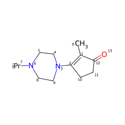 CC1=C(N2CCN(C(C)C)CC2)CCC1=O